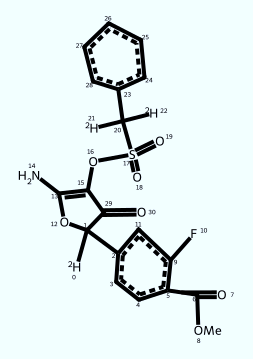 [2H]C1(c2ccc(C(=O)OC)c(F)c2)OC(N)=C(OS(=O)(=O)C([2H])([2H])c2ccccc2)C1=O